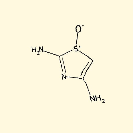 Nc1c[s+]([O-])c(N)n1